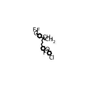 C=CC(C)(CCCc1ccc(F)c(Oc2ccc(Cl)cc2)c1)c1ccc(OC(F)F)cc1